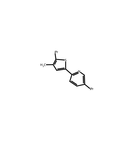 Cc1cc(-c2ccc(C(C)C)cn2)sc1C(C)C